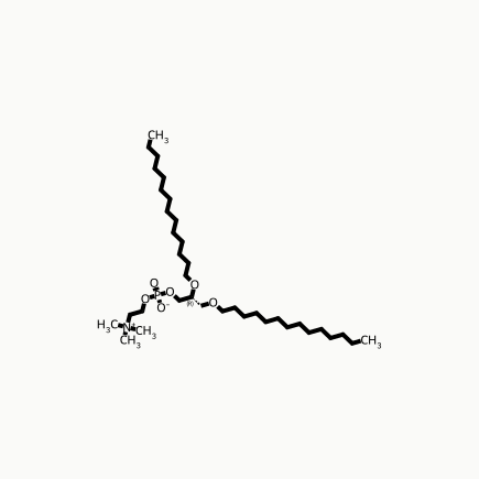 CCCCCCCCCCCCCCOC[C@H](COP(=O)([O-])OCC[N+](C)(C)C)OCCCCCCCCCCCCCC